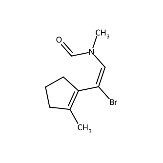 CC1=C(/C(Br)=C\N(C)C=O)CCC1